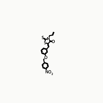 C=CCN1C(=O)/C(=C/c2cccc(OCc3ccc([N+](=O)[O-])cc3)c2)SC1=S